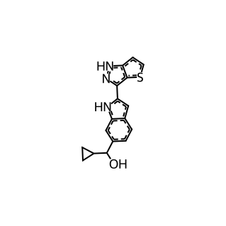 OC(c1ccc2cc(-c3n[nH]c4ccsc34)[nH]c2c1)C1CC1